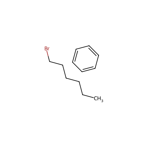 CCCCCCBr.c1ccccc1